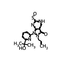 C=CCn1c(=O)c2c[nH]c(=S=O)nc2n1-c1cccc(C(C)(C)O)n1